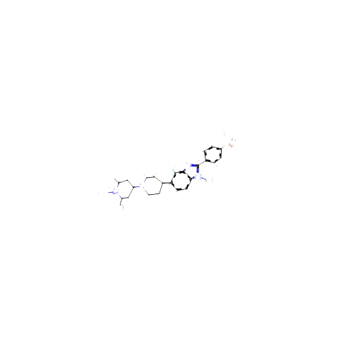 CCC1CC(N2CCC(c3ccc4c(nc(-c5ccc(S(C)(=O)=O)cc5)n4C)c3F)CC2)CC(C)N1C(C)C